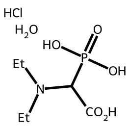 CCN(CC)C(C(=O)O)P(=O)(O)O.Cl.O